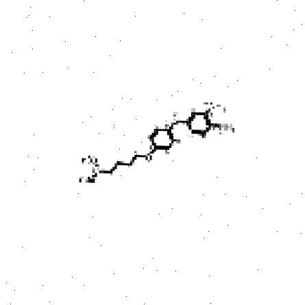 CCCCN(CCCC)CCCCOc1ccc(Sc2ccc(N)c(N)c2)cc1